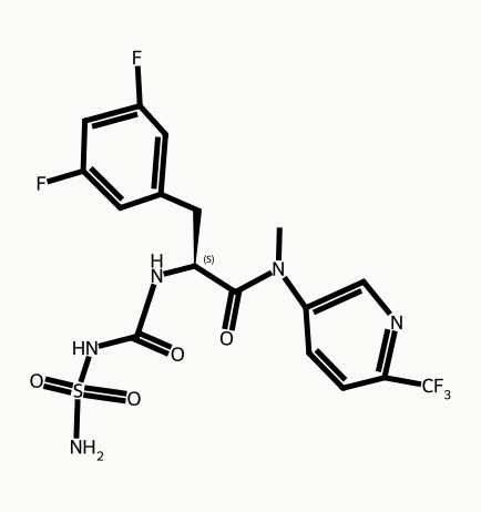 CN(C(=O)[C@H](Cc1cc(F)cc(F)c1)NC(=O)NS(N)(=O)=O)c1ccc(C(F)(F)F)nc1